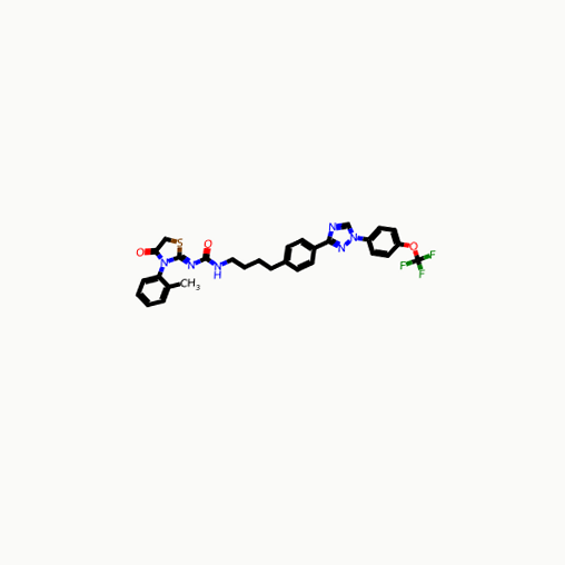 Cc1ccccc1N1C(=O)CS/C1=N\C(=O)NCCCCc1ccc(-c2ncn(-c3ccc(OC(F)(F)F)cc3)n2)cc1